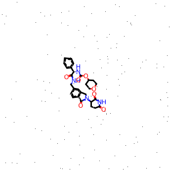 O=C1CCC(N2Cc3cc(CNC(=O)[C@@H](NC(=O)OC4CCOCC4)c4ccccc4)ccc3C2=O)C(=O)N1